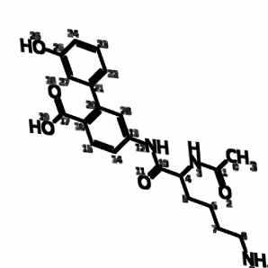 CC(=O)NC(CCCCN)C(=O)Nc1ccc(C(=O)O)c(-c2cccc(O)c2)c1